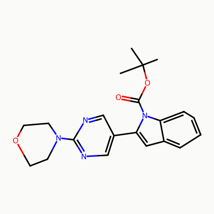 CC(C)(C)OC(=O)n1c(-c2cnc(N3CCOCC3)nc2)cc2ccccc21